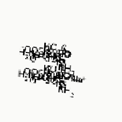 NC(=O)OCC1=C(C(=O)[O-])N2C(=O)C(NC(=O)C(Sc3ccccc3C(=O)O)c3csc(N)n3)[C@H]2SC1.NC(=O)OCC1=C(C(=O)[O-])N2C(=O)C(NC(=O)C(Sc3ccccc3C(=O)O)c3csc(N)n3)[C@H]2SC1.[Na+].[Na+]